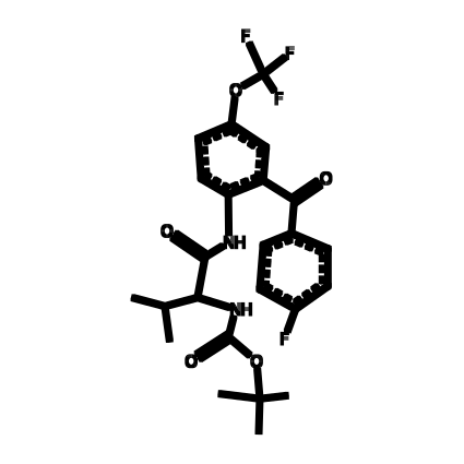 CC(C)C(NC(=O)OC(C)(C)C)C(=O)Nc1ccc(OC(F)(F)F)cc1C(=O)c1ccc(F)cc1